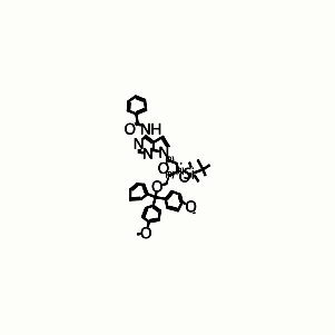 COc1ccc(C(OC[C@H]2O[C@@H](n3ccc4c(NC(=O)c5ccccc5)ncnc43)[CH][C@H]2O[Si](C)(C)C(C)(C)C)(c2ccccc2)c2ccc(OC)cc2)cc1